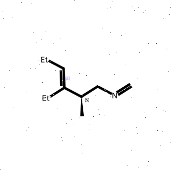 C=NC[C@@H](C)/C(=C/CC)CC